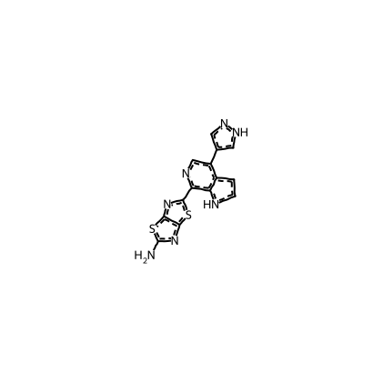 Nc1nc2sc(-c3ncc(-c4cn[nH]c4)c4cc[nH]c34)nc2s1